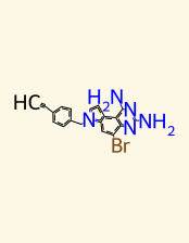 C#Cc1ccc(Cn2ccc3c4c(N)nc(N)nc4c(Br)cc32)cc1